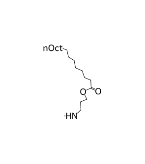 CCCCCCCCCCCCCCCC(=O)OCCC[NH]